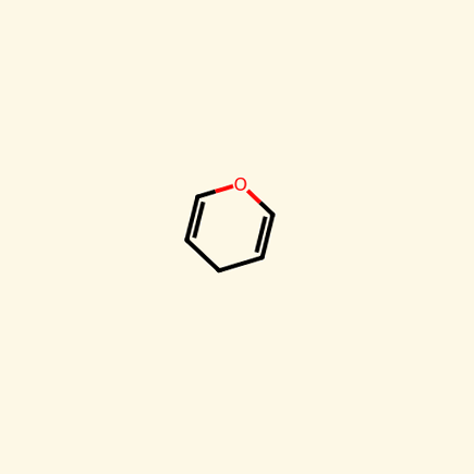 C1=COC=CC1